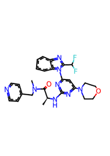 C[C@H](Nc1nc(N2CCOCC2)cc(-n2c(C(F)F)nc3ccccc32)n1)C(=O)N(C)Cc1ccncc1